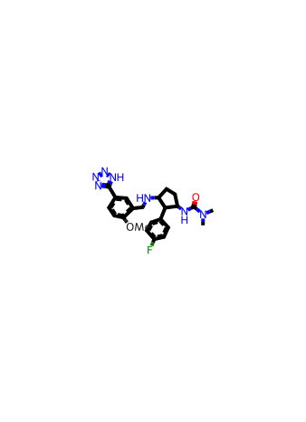 COc1ccc(-c2nnn[nH]2)cc1CNC1CCC(NC(=O)N(C)C)C1c1ccc(F)cc1